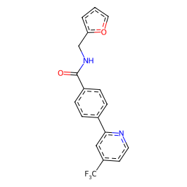 O=C(NCc1ccco1)c1ccc(-c2cc(C(F)(F)F)ccn2)cc1